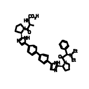 CCN(CC)[C@@H](C(=O)N1CCC[C@H]1c1ncc(-c2ccc(-c3ccc(-c4cnc([C@@H]5CCCN5C(=O)[C@H](C)NC(=O)O)[nH]4)cc3)cc2)[nH]1)c1ccccc1